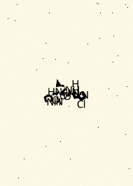 N#C[C@H](C[C@@H]1CCCNC1=O)NC(=O)[C@H](CC1CC1)NC(=O)c1cc2c(Cl)cncc2[nH]1